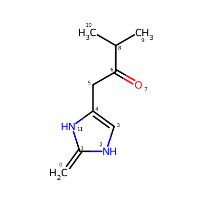 C=C1NC=C(CC(=O)C(C)C)N1